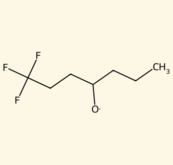 CCCC([O])CCC(F)(F)F